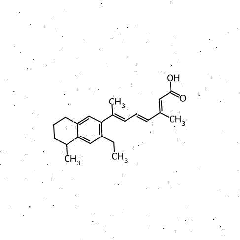 CCc1cc2c(cc1C(C)=CC=CC(C)=CC(=O)O)CCCC2C